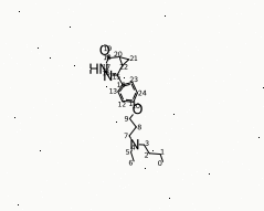 CCCCN(CC)CCCOc1ccc(C2=NNC(=O)C3CC23)cc1